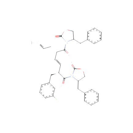 C=CC[C@@H](C=C[C@H](Cc1cccc(F)c1)C(=O)N1C(=O)OCC1Cc1ccccc1)C(=O)N1C(=O)OCC1Cc1ccccc1